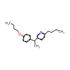 CCCCOc1ccc(C(C)c2ccc(CCCC)nc2)cc1